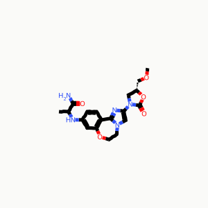 COC[C@H]1CN(c2cn3c(n2)-c2ccc(NC(C)C(N)=O)cc2OCC3)C(=O)O1